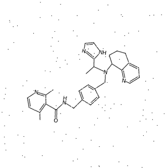 Cc1ccnc(C)c1C(=O)NCc1ccc(CN(C(C)c2ncc[nH]2)C2CCCc3cccnc32)cc1